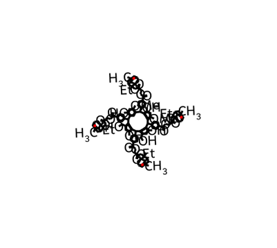 CCC1(OC(=O)COC(=O)c2ccc(C3c4cc(c(OC)cc4O)C(c4ccc(C(=O)OCC(=O)OC5(CC)C6CC7CC5CC(C)(C7)C6)cc4)c4cc(c(OC)cc4O)C(c4ccc(C(=O)OCC(=O)OC5(CC)C6CC7CC5CC(C)(C7)C6)cc4)c4cc(c(CO)cc4O)C(c4ccc(C(=O)OCC(=O)OC5(CC)C6CC7CC5CC(C)(C7)C6)cc4)c4cc3c(CO)cc4O)cc2)C2CC3CC1CC(C)(C3)C2